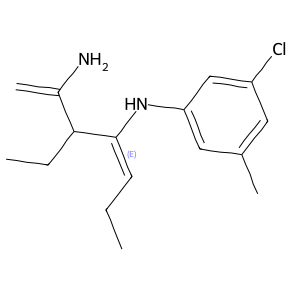 C=C(N)C(CC)/C(=C\CC)Nc1cc(C)cc(Cl)c1